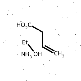 C=CCC(=O)O.CCO.N